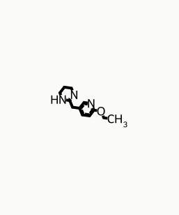 CCOc1ccc(CC2=NCCCN2)cn1